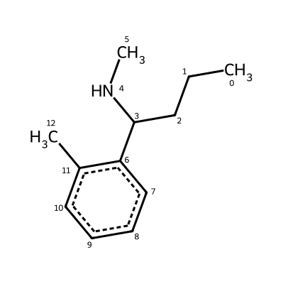 CCCC(NC)c1ccccc1C